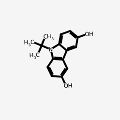 CC(C)(C)n1c2ccc(O)cc2c2cc(O)ccc21